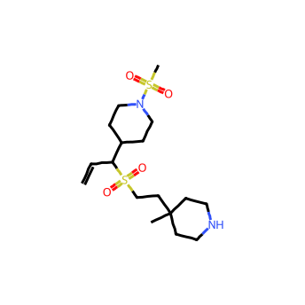 C=CC(C1CCN(S(C)(=O)=O)CC1)S(=O)(=O)CCC1(C)CCNCC1